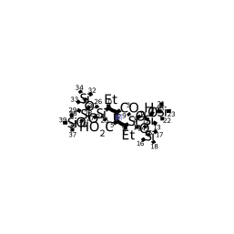 CCC(/C(C(=O)O)=C(\C(=O)O)C(CC)[Si](C)(C)O[Si](C)(O[Si](C)(C)C)O[Si](C)(C)C)[Si](C)(C)O[Si](C)(O[Si](C)(C)C)O[Si](C)(C)C